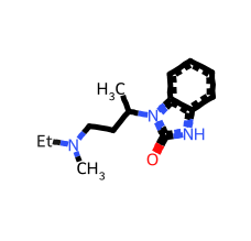 CCN(C)CCC(C)n1c(=O)[nH]c2ccccc21